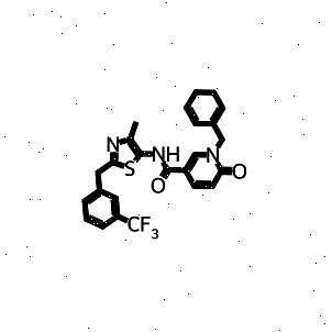 Cc1nc(Cc2cccc(C(F)(F)F)c2)sc1NC(=O)c1ccc(=O)n(CC2=CCCC=C2)c1